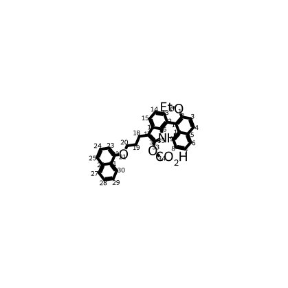 CCOc1ccc2ccccc2c1-c1cccc2c(CCCOc3cccc4ccccc34)c(OC(=O)O)[nH]c12